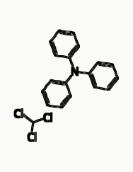 ClC(Cl)Cl.c1ccc(N(c2ccccc2)c2ccccc2)cc1